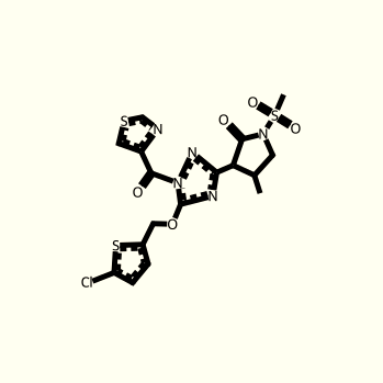 CC1CN(S(C)(=O)=O)C(=O)C1c1nc(OCc2ccc(Cl)s2)n(C(=O)c2cscn2)n1